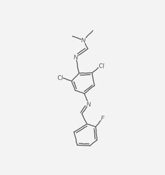 CN(C)C=Nc1c(Cl)cc(N=Cc2ccccc2F)cc1Cl